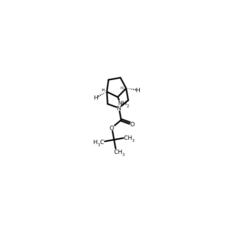 CC(C)(C)OC(=O)N1C[C@H]2CC[C@@H](C1)C2N